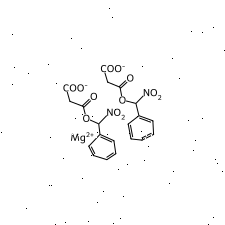 O=C([O-])CC(=O)OC(c1ccccc1)[N+](=O)[O-].O=C([O-])CC(=O)OC(c1ccccc1)[N+](=O)[O-].[Mg+2]